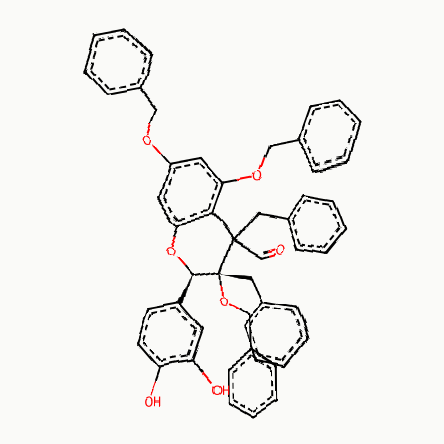 O=CC1(Cc2ccccc2)c2c(OCc3ccccc3)cc(OCc3ccccc3)cc2O[C@H](c2ccc(O)c(O)c2)[C@@]1(Cc1ccccc1)OCc1ccccc1